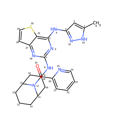 Cc1cc(Nc2nc(NC3CC4CCCC(C3)N4C(=O)c3ccccn3)nc3ccsc23)n[nH]1